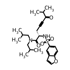 CC(C)CN(CC(C)C)C(=O)[C@H](CC#CC(=O)C(C)C)NS(=O)(=O)c1ccc2occc2c1